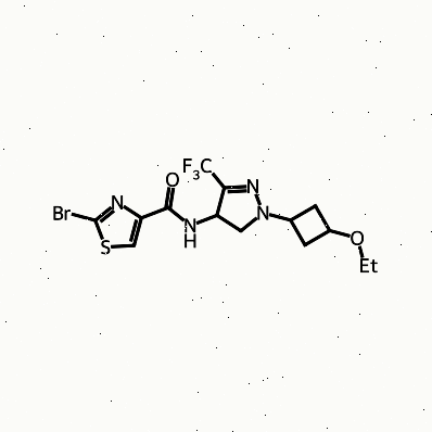 CCOC1CC(N2CC(NC(=O)c3csc(Br)n3)C(C(F)(F)F)=N2)C1